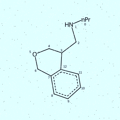 CCCNCC1COCc2ccccc21